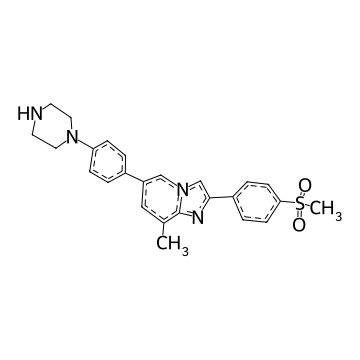 Cc1cc(-c2ccc(N3CCNCC3)cc2)cn2cc(-c3ccc(S(C)(=O)=O)cc3)nc12